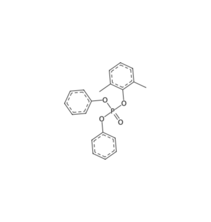 Cc1cccc(C)c1OP(=O)(Oc1ccccc1)Oc1ccccc1